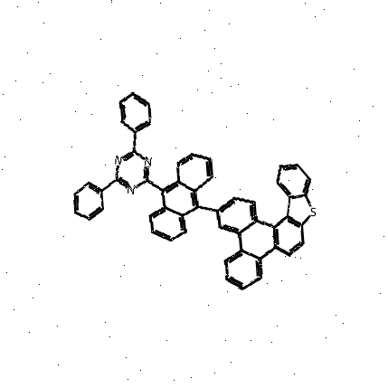 c1ccc(-c2nc(-c3ccccc3)nc(-c3c4ccccc4c(-c4ccc5c(c4)c4ccccc4c4ccc6sc7ccccc7c6c45)c4ccccc34)n2)cc1